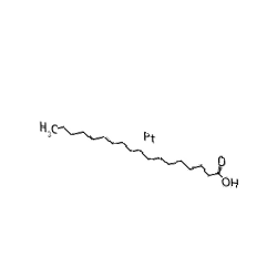 CCCCCCCCCCCCCCCCCC(=O)O.[Pt]